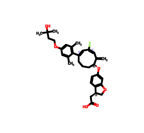 C=C1/C=C(F)\C=C(\c2c(C)cc(OCCC(C)(C)O)cc2C)CCC[C@H]1Oc1ccc2c(c1)OC[C@H]2CC(=O)O